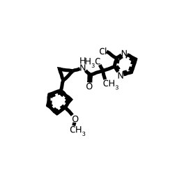 COc1cccc(C2CC2NC(=O)C(C)(C)c2nccnc2Cl)c1